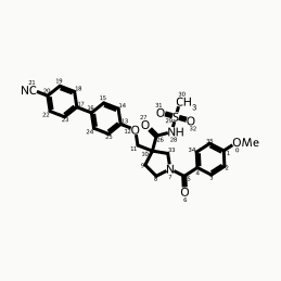 COc1ccc(C(=O)N2CCC(COc3ccc(-c4ccc(C#N)cc4)cc3)(C(=O)NS(C)(=O)=O)C2)cc1